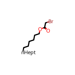 CCCCCCCCCCCCCOC(=O)CBr